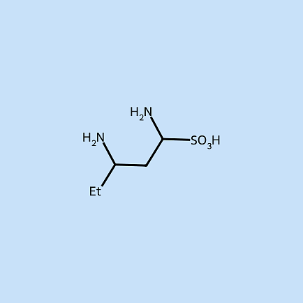 CCC(N)CC(N)S(=O)(=O)O